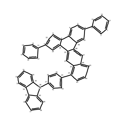 c1ccc(-c2ccc3c4ccc(-c5ccccc5)cc4c4cc5c(-c6ccc(-n7c8ccccc8c8ccccc87)cc6)cccc5cc4c3c2)cc1